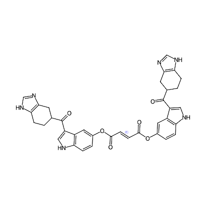 O=C(/C=C/C(=O)Oc1ccc2[nH]cc(C(=O)C3CCc4[nH]cnc4C3)c2c1)Oc1ccc2[nH]cc(C(=O)C3CCc4[nH]cnc4C3)c2c1